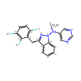 O=C(O)N(c1cncnc1)n1nc(Cc2c(F)ccc(F)c2F)c2ccccc21